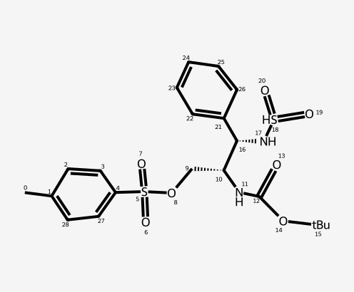 Cc1ccc(S(=O)(=O)OC[C@@H](NC(=O)OC(C)(C)C)[C@@H](N[SH](=O)=O)c2ccccc2)cc1